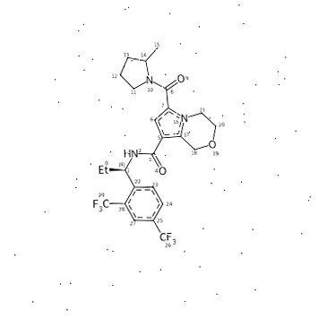 CC[C@@H](NC(=O)c1cc(C(=O)N2CCCC2C)n2c1COCC2)c1ccc(C(F)(F)F)cc1C(F)(F)F